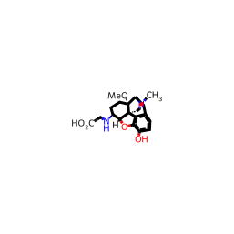 CO[C@@]12CC[C@H](NCC(=O)O)[C@@H]3Oc4c(O)ccc5c4[C@@]31CCN(C)C2C5